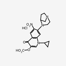 Cl.O=C(O)Oc1cn(C2CC2)c2cc(N3CCN4CCC3C4)c([N+](=O)[O-])cc2c1=O